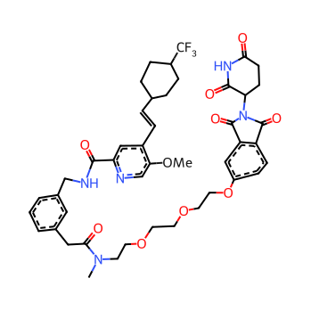 COc1cnc(C(=O)NCc2cccc(CC(=O)N(C)CCOCCOCCOc3ccc4c(c3)C(=O)N(C3CCC(=O)NC3=O)C4=O)c2)cc1C=CC1CCC(C(F)(F)F)CC1